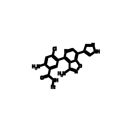 CCNC(=O)c1cc(-c2ncc(-c3cn[nH]c3)c3onc(N)c23)c(Cl)cc1N